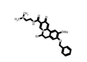 CCC1Cc2cc(OCc3ccccc3)c(OC)cc2-c2cc(=O)c(C(=O)NCCN(C)C)cn21